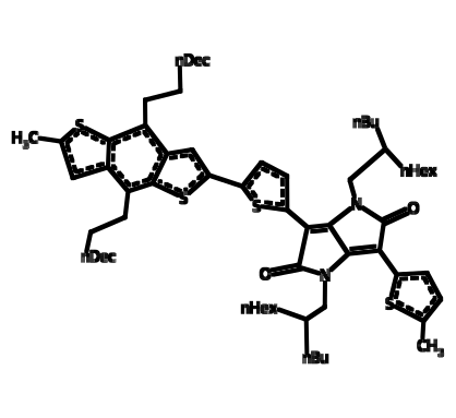 CCCCCCCCCCCCc1c2cc(-c3ccc(C4=C5C(=C(c6ccc(C)s6)C(=O)N5CC(CCCC)CCCCCC)N(CC(CCCC)CCCCCC)C4=O)s3)sc2c(CCCCCCCCCCCC)c2cc(C)sc12